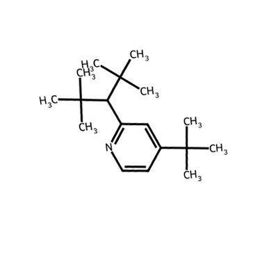 CC(C)(C)c1ccnc(C(C(C)(C)C)C(C)(C)C)c1